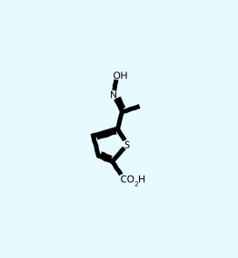 C/C(=N\O)c1ccc(C(=O)O)s1